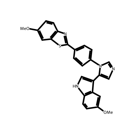 COc1ccc2nc(-c3ccc(-n4cncc4-c4c[nH]c5ccc(OC)cc45)cc3)sc2c1